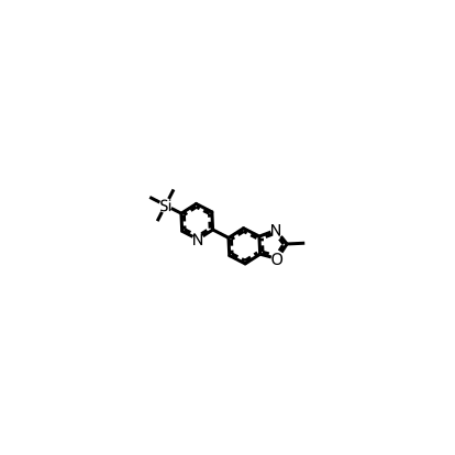 Cc1nc2cc(-c3ccc([Si](C)(C)C)cn3)ccc2o1